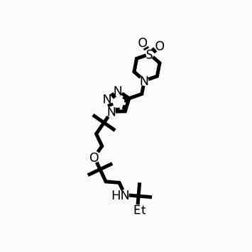 CCC(C)(C)NCCC(C)(C)OCCC(C)(C)n1cc(CN2CCS(=O)(=O)CC2)nn1